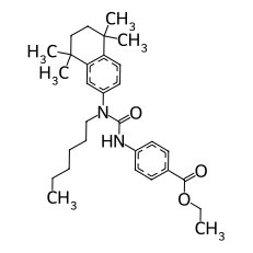 CCCCCCN(C(=O)Nc1ccc(C(=O)OCC)cc1)c1ccc2c(c1)C(C)(C)CCC2(C)C